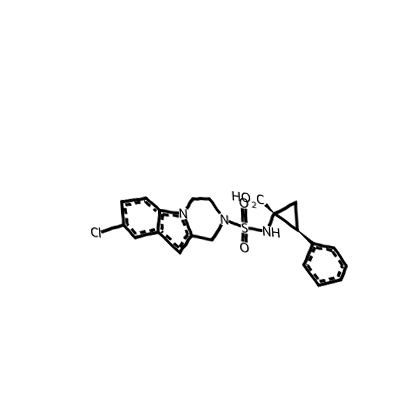 O=C(O)[C@@]1(NS(=O)(=O)N2CCn3c(cc4cc(Cl)ccc43)C2)C[C@H]1c1ccccc1